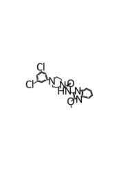 COc1nc2ccccc2nc1NC(=O)N1CCN(c2cc(Cl)cc(Cl)c2)CC1